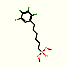 CO[Si](O)(CCCCCCc1cc(F)c(F)c(F)c1F)OC